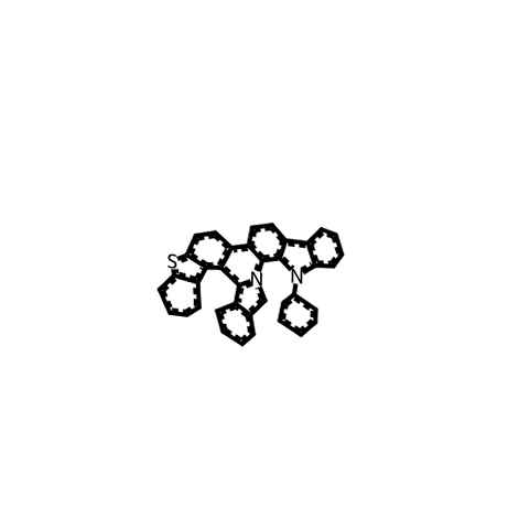 c1ccc(-n2c3ccccc3c3ccc4c5ccc6sc7ccccc7c6c5c5c6ccccc6cn5c4c32)cc1